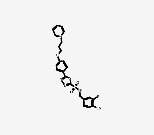 N#Cc1ccc([CH]NS(=O)(=O)c2nnc(-c3ccc(OCCCN4C=CC=CC4)cc3)s2)cc1F